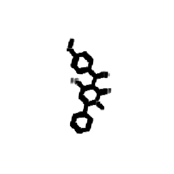 COc1ccc(C(=N)c2c(O)cc(-c3ccccc3)n(C)c2=O)cc1